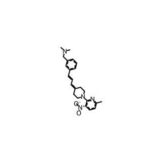 Cc1ccc([N+](=O)[O-])c(N2CCC(=CC=Cc3cccc(CN(C)C)c3)CC2)n1